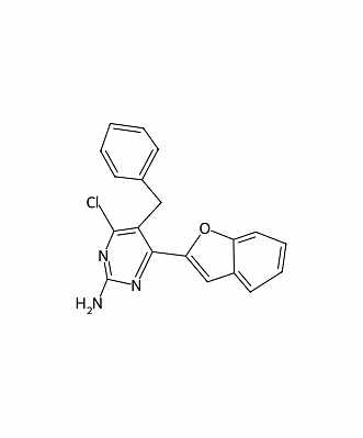 Nc1nc(Cl)c(Cc2ccccc2)c(-c2cc3ccccc3o2)n1